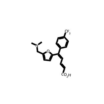 CN(C)Cc1ccc(/C(=C\C=C\C(=O)O)c2ccc(C(F)(F)F)cc2)o1